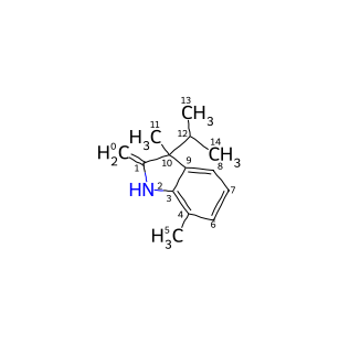 C=C1Nc2c(C)cccc2C1(C)C(C)C